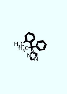 Cc1ccccc1C(C)(c1ccccc1)n1cncn1